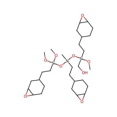 CO[Si](CO)(CCC1CCC2OC2C1)O[Si](C)(CCC1CCC2OC2C1)O[Si](CCC1CCC2OC2C1)(OC)OC